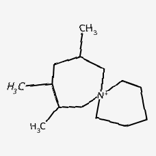 CC1CC(C)C(C)C[N+]2(CCCCC2)C1